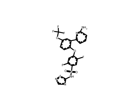 Nc1cccc(-c2cc(OC(F)(F)F)ccc2Oc2cc(F)c(S(=O)(=O)Nc3ncns3)cc2F)n1